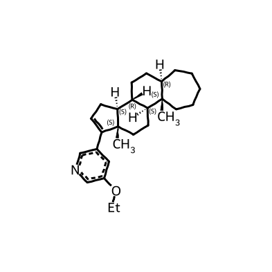 CCOc1cncc(C2=CC[C@H]3[C@@H]4CC[C@H]5CCCCC[C@]5(C)[C@H]4CC[C@]23C)c1